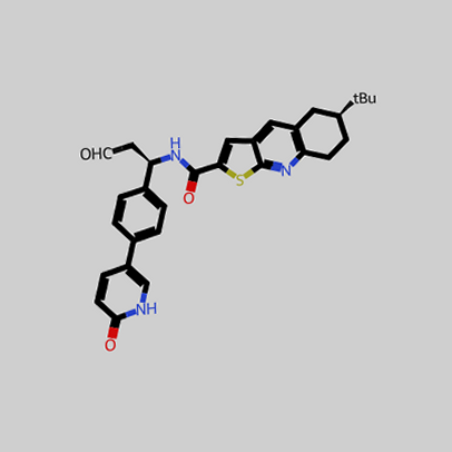 CC(C)(C)[C@H]1CCc2nc3sc(C(=O)N[C@H](CC=O)c4ccc(-c5ccc(=O)[nH]c5)cc4)cc3cc2C1